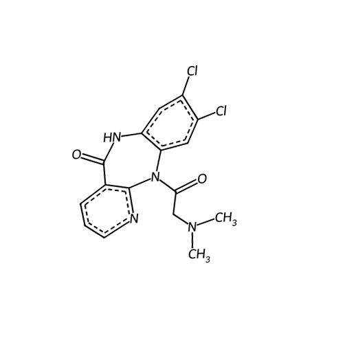 CN(C)CC(=O)N1c2cc(Cl)c(Cl)cc2NC(=O)c2cccnc21